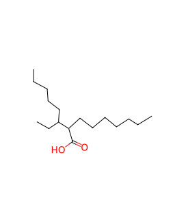 CCCCCCCC(C(=O)O)C(CC)CCCCC